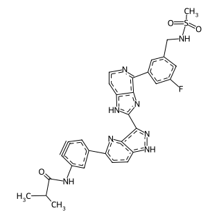 CC(C)C(=O)Nc1c#ccc(-c2ccc3[nH]nc(-c4nc5c(-c6cc(F)cc(CNS(C)(=O)=O)c6)nccc5[nH]4)c3n2)c1